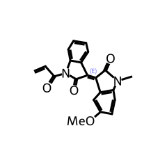 C=CC(=O)N1C(=O)/C(=C2/C(=O)N(C)c3ccc(OC)cc32)c2ccccc21